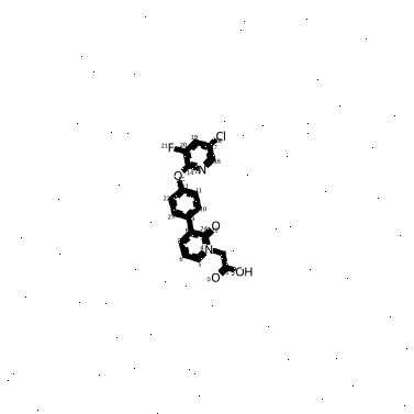 O=C(O)Cn1cccc(-c2ccc(Oc3ncc(Cl)cc3F)cc2)c1=O